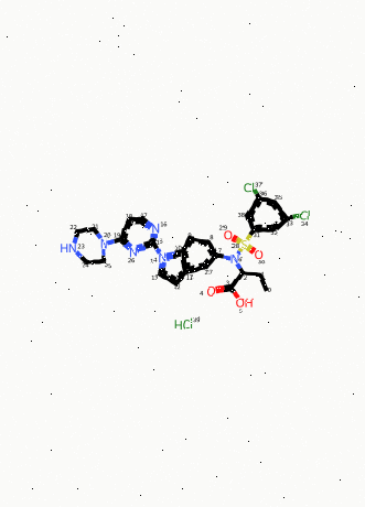 CCC(C(=O)O)N(c1ccc2c(ccn2-c2nccc(N3CCNCC3)n2)c1)S(=O)(=O)c1cc(Cl)cc(Cl)c1.Cl